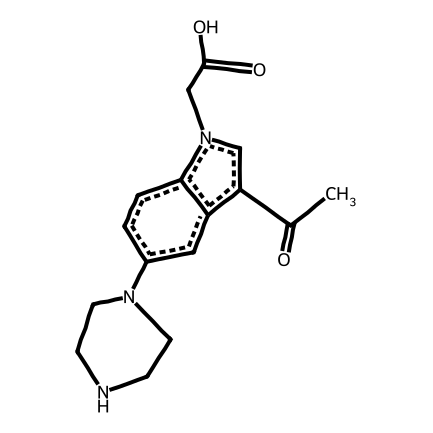 CC(=O)c1cn(CC(=O)O)c2ccc(N3CCNCC3)cc12